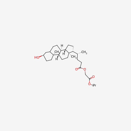 CC(C)OC(=O)COC(=O)CC[C@@H](C)[C@H]1CC[C@H]2[C@@H]3CCC4C[C@H](O)CC[C@]4(C)[C@H]3CC[C@]12C